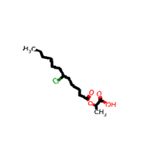 CCCCCCC(Cl)CCCCC(=O)OC(C)C(=O)O